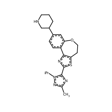 Cc1nc(-c2nc3c(s2)CCOc2cc(C4CCCNC4)ccc2-3)n(C(C)C)n1